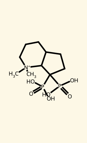 C[N+]1(C)CCCC2CCC(P(=O)(O)O)(P(=O)(O)O)C21